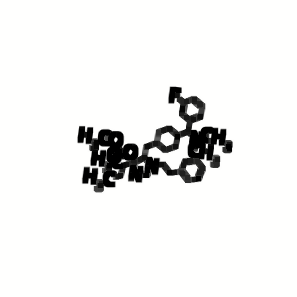 CCC(C)C1(OC(=O)OC)N=CN(CCc2ccccc2)C1CC1CCC(C(c2cccc(F)c2)N(C)C)CC1